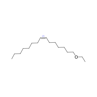 CCCCCCC/C=C\CCCCCCOCC